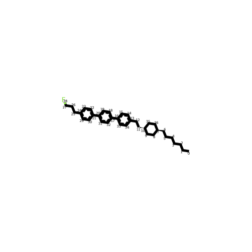 CCCCCCC[C@H]1CC[C@H](CCc2ccc(-c3ccc(-c4ccc(CCCF)cc4)cc3)cc2)CC1